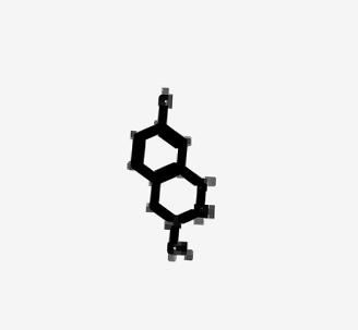 CN1Cc2ccc(Cl)cc2SN1